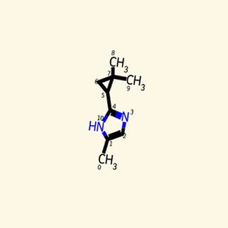 Cc1cnc(C2CC2(C)C)[nH]1